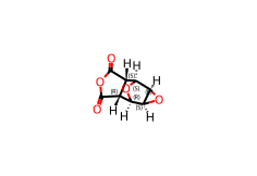 O=C1OC(=O)[C@H]2[C@H]3O[C@H]([C@H]4O[C@H]43)[C@@H]12